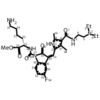 CCN(CC)CCNC(=O)c1c(C)[nH]c(/C=C2\C(=O)N(C(=O)N[C@@H](CCCCN)C(=O)OC)c3ccc(F)cc32)c1C